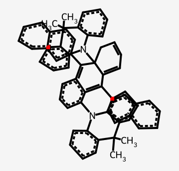 CC1(C)c2ccccc2N(c2cccc3c2=C(c2ccc4ccccc4c2)C2=CC=CCC2(N2c4ccccc4C(C)(C)c4ccccc42)C=3c2ccc3ccccc3c2)c2ccccc21